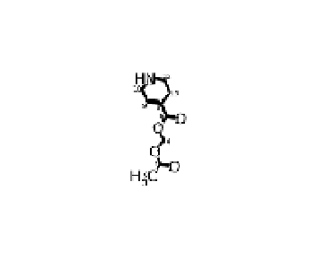 CC(=O)OCOC(=O)C1=CCNCC1